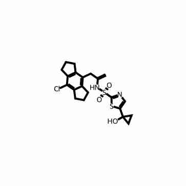 C=C(Cc1c2c(c(Cl)c3c1CCC3)CCC2)NS(=O)(=O)c1ncc(C2(O)CC2)s1